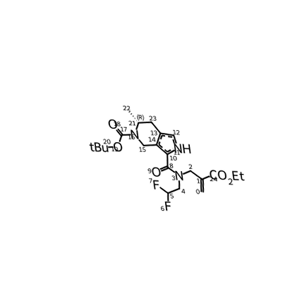 C=C(CN(CC(F)F)C(=O)c1[nH]cc2c1CN(C(=O)OC(C)(C)C)[C@H](C)C2)C(=O)OCC